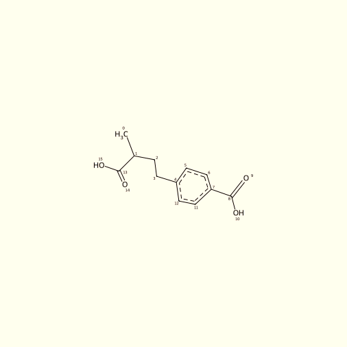 CC(CCc1ccc(C(=O)O)cc1)C(=O)O